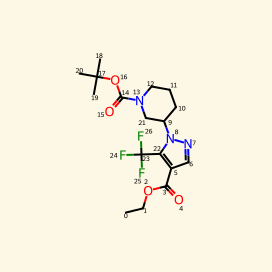 CCOC(=O)c1cnn(C2CCCN(C(=O)OC(C)(C)C)C2)c1C(F)(F)F